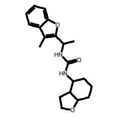 Cc1c(C(C)NC(=O)NC2CCCC3OCCC23)oc2ccccc12